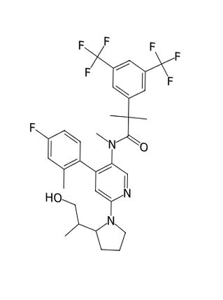 Cc1cc(F)ccc1-c1cc(N2CCCC2C(C)CO)ncc1N(C)C(=O)C(C)(C)c1cc(C(F)(F)F)cc(C(F)(F)F)c1